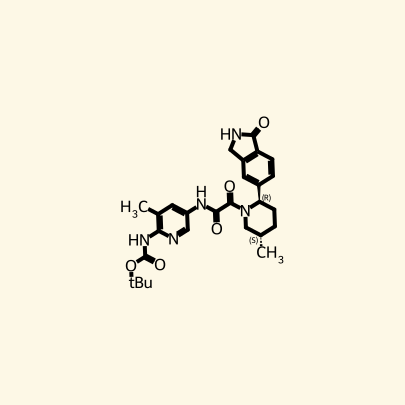 Cc1cc(NC(=O)C(=O)N2C[C@@H](C)CC[C@@H]2c2ccc3c(c2)CNC3=O)cnc1NC(=O)OC(C)(C)C